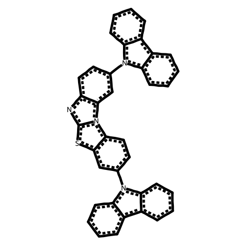 c1ccc2c(c1)c1ccccc1n2-c1ccc2c(c1)sc1nc3ccc(-n4c5ccccc5c5ccccc54)cc3n12